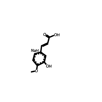 COc1ccc(C=CC(=O)O)cc1O.[NaH]